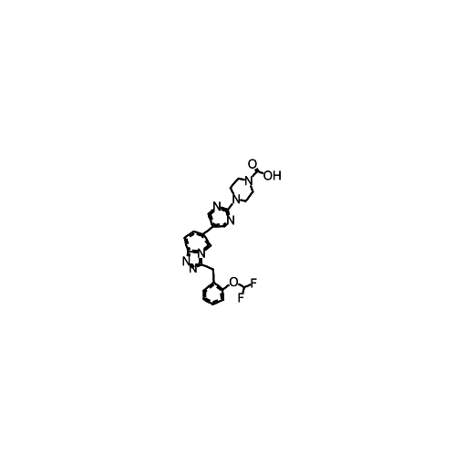 O=C(O)N1CCN(c2ncc(-c3ccc4nnc(Cc5ccccc5OC(F)F)n4c3)cn2)CC1